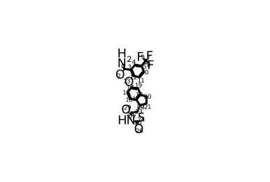 NC(=O)c1cc(C(F)(F)F)ccc1Oc1ccc2c(c1)CC[C@H]2C1SC(=O)NC1=O